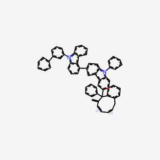 C=C1/C=C\C=C/Cc2ccccc2C1(c1ccccc1)c1ccc2c(c1)c1cc(-c3cccc4c3c3ccccc3n4-c3cccc(-c4ccccc4)c3)ccc1n2-c1ccccc1